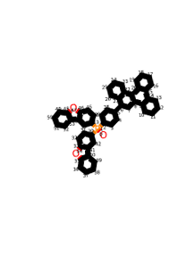 O=P(c1ccc(-c2cc3c4ccccc4c4ccccc4c3c3ccccc23)cc1)(c1ccc2oc3ccccc3c2c1)c1ccc2oc3ccccc3c2c1